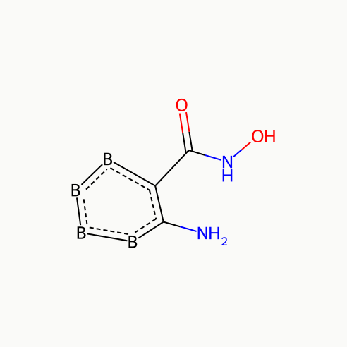 Nc1bbbbc1C(=O)NO